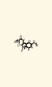 C[C@H](Cc1cn(C)c2ccc(CI)cc12)N(C)C